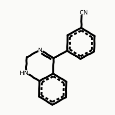 N#Cc1cccc(C2=NCNc3ccccc32)c1